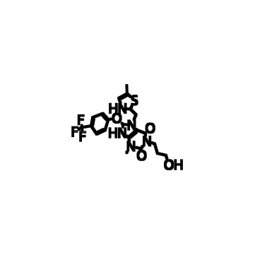 CC1=CNC(CN2c3c(n(C)c(=O)n(CCCO)c3=O)NC2Oc2ccc(C(F)(F)F)cc2)S1